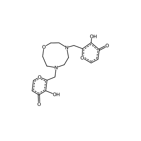 O=c1ccoc(CN2CCOCCN(Cc3occc(=O)c3O)CC2)c1O